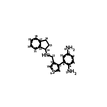 Nc1ccc(N)c(-c2cscc2CNC2CCc3ccccc32)c1